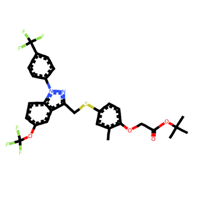 Cc1cc(SCc2nn(-c3ccc(C(F)(F)F)cc3)c3ccc(OC(F)(F)F)cc23)ccc1OCC(=O)OC(C)(C)C